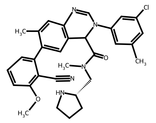 COc1cccc(-c2cc3c(cc2C)N=CN(c2cc(C)cc(Cl)c2)C3C(=O)N(C)C[C@@H]2CCCN2)c1C#N